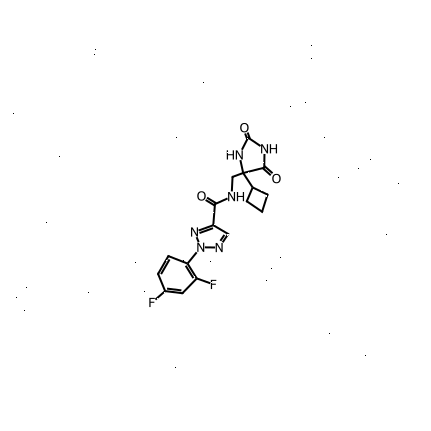 O=C1NC(=O)C(CNC(=O)c2cnn(-c3ccc(F)cc3F)n2)(C2CCC2)N1